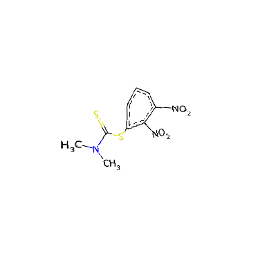 CN(C)C(=S)Sc1cccc([N+](=O)[O-])c1[N+](=O)[O-]